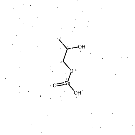 CC(O)CO[Se](=O)O